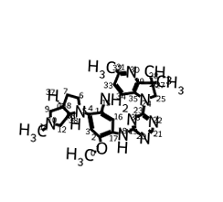 COc1cc(N2CC[C@@H]3CN(C)C[C@@H]32)c(N)cc1Nc1ncnc(N2CC(C)(C)c3nc(C)ccc32)n1